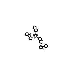 C1=C(c2cccc3oc4ccccc4c23)CCc2ccc(-c3nc(-c4ccc5ccccc5c4)nc(-c4cccc5c4sc4ccccc45)n3)cc21